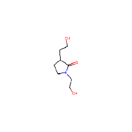 O=C1C(CCO)CCN1CCO